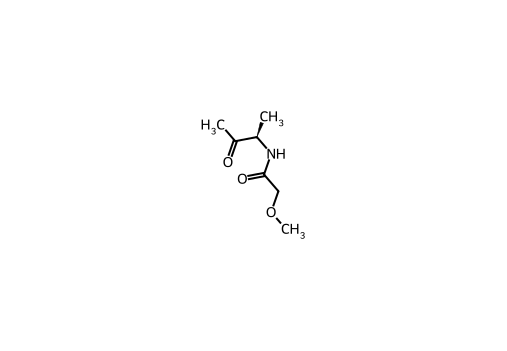 COCC(=O)N[C@H](C)C(C)=O